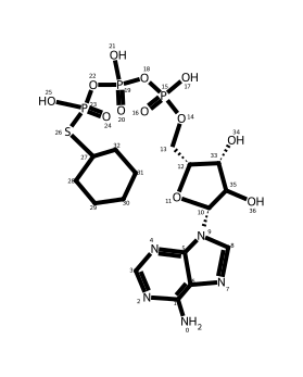 Nc1ncnc2c1ncn2[C@@H]1O[C@H](COP(=O)(O)OP(=O)(O)OP(=O)(O)SC2CCCCC2)[C@H](O)C1O